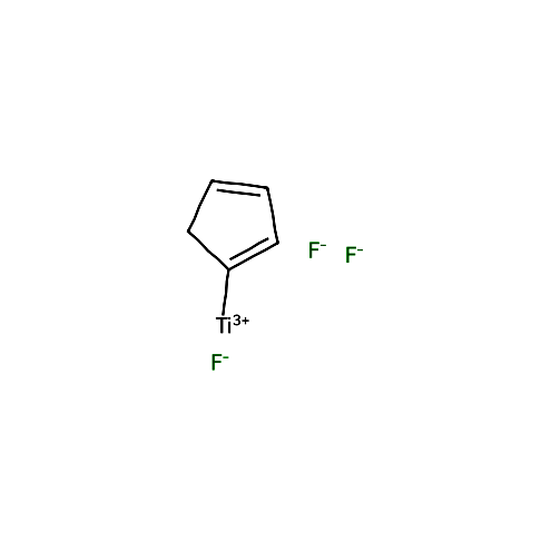 [F-].[F-].[F-].[Ti+3][C]1=CC=CC1